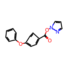 O=C(On1cccn1)c1ccc(Oc2ccccc2)cc1